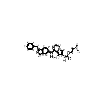 CCc1c(NC(=O)OCCN(C)C)cn2ncnc(Nc3ccc4c(cnn4Cc4ccccc4)c3)c12